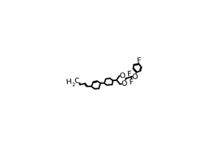 C=C/C=C/C1C=CC(C2CCC(C3COC(C(F)(F)Oc4ccc(F)cc4)OC3)CC2)CC1